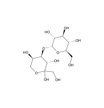 OC[C@H]1O[C@H](O[C@@H]2[C@H](O)COC(O)(CO)[C@H]2O)[C@H](O)[C@@H](O)[C@@H]1O